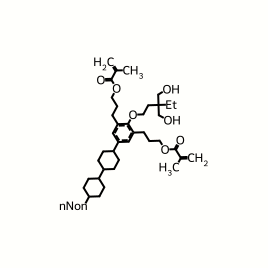 C=C(C)C(=O)OCCCc1cc(C2CCC(C3CCC(CCCCCCCCC)CC3)CC2)cc(CCCOC(=O)C(=C)C)c1OCCC(CC)(CO)CO